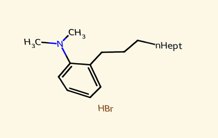 Br.CCCCCCCCCCc1ccccc1N(C)C